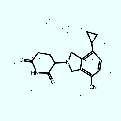 N#Cc1ccc(C2CC2)c2c1CN(C1CCC(=O)NC1=O)C2